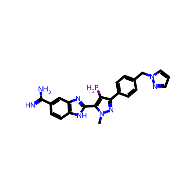 Cn1nc(-c2ccc(Cn3cccn3)cc2)c(P)c1-c1nc2cc(C(=N)N)ccc2[nH]1